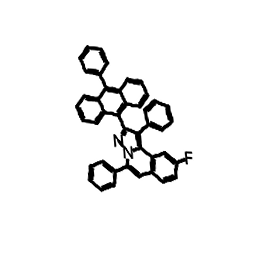 Fc1ccc2cc(-c3ccccc3)n3nc(-c4c5ccccc5c(-c5ccccc5)c5ccccc45)c(-c4ccccc4)c3c2c1